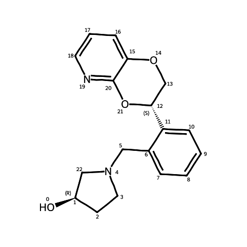 O[C@@H]1CCN(Cc2ccccc2[C@H]2COc3cccnc3O2)C1